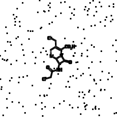 O=C(CCl)NC1C(=O)N2C(C(=O)O)=C(CCl)CSC12